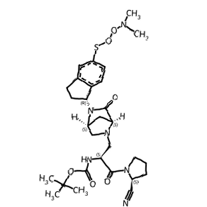 CN(C)OOSc1ccc2c(c1)CC[C@H]2N1C(=O)[C@@H]2C[C@H]1CN2C[C@H](NC(=O)OC(C)(C)C)C(=O)N1CCC[C@H]1C#N